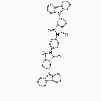 O=C1c2ccc(-n3c4ccccc4c4ccccc43)cc2C(=O)N1c1ccc(N2C(=O)c3ccc(-n4c5ccccc5c5ccccc54)cc3C2=O)cc1